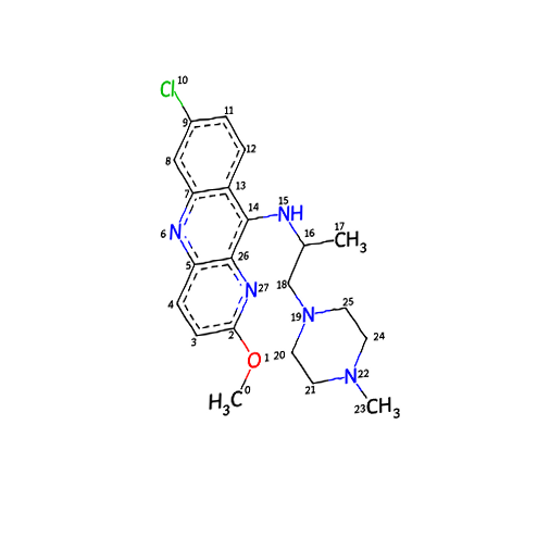 COc1ccc2nc3cc(Cl)ccc3c(NC(C)CN3CCN(C)CC3)c2n1